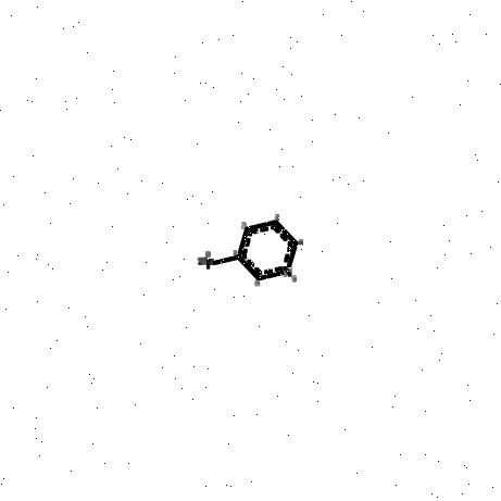 [18F]c1cccnc1